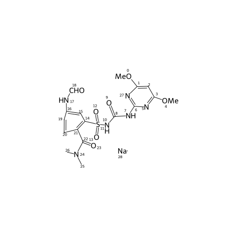 COc1cc(OC)nc(NC(=O)NS(=O)(=O)c2cc(NC=O)ccc2C(=O)N(C)C)n1.[Na]